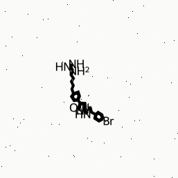 N=C(N)NCCCCCc1ccc(-c2cn3cc(-c4ccc(Br)cc4)[nH]c3nc2=O)cc1